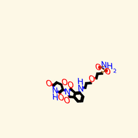 NS(=O)(=O)CCCOCCCNc1cccc2c1C(=O)N(C1C(=O)CC(=O)NC1=O)C2=O